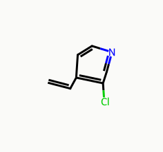 C=Cc1ccncc1Cl